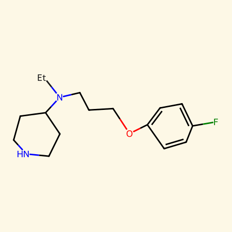 CCN(CCCOc1ccc(F)cc1)C1CCNCC1